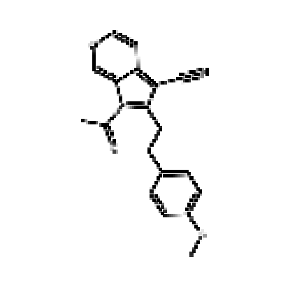 COc1ccc(CCc2c(C#N)c3ccocc-3c2C(C)=O)cc1